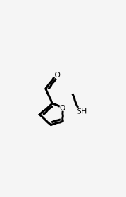 CS.O=Cc1ccco1